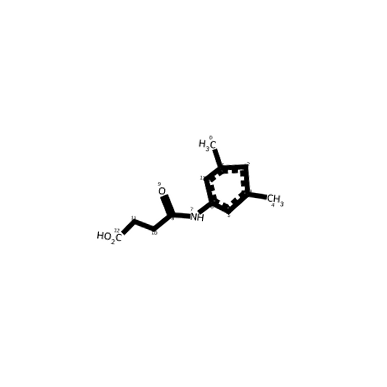 Cc1cc(C)cc(NC(=O)CCC(=O)O)c1